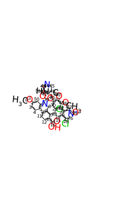 COc1cccc(N(Cc2cccc(C(=O)O)c2[C@@H](Cc2c(Cl)c[n+]([O-])cc2Cl)c2ccc(OC)c(OC)c2)C(=O)O[C@H]2CN3CCC2CC3)c1